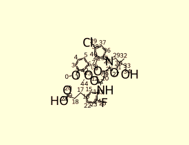 COc1cccc([C@H]2O[C@H](CC(=O)Nc3cc(CCC(=O)O)ccc3F)C(=O)N(CC(C)(C)CO)c3ccc(Cl)cc32)c1OC